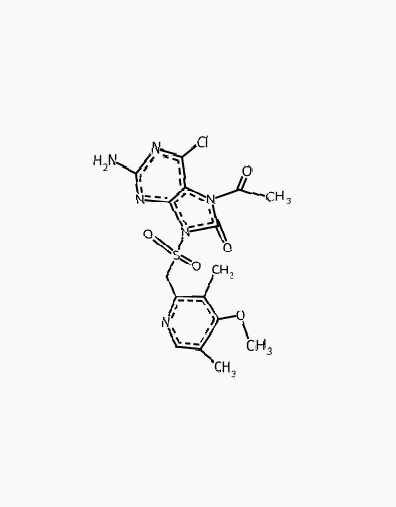 COc1c(C)cnc(CS(=O)(=O)n2c(=O)n(C(C)=O)c3c(Cl)nc(N)nc32)c1C